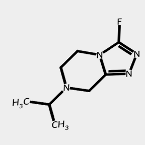 CC(C)N1CCn2c(F)nnc2C1